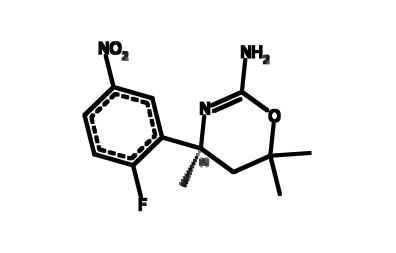 CC1(C)C[C@@](C)(c2cc([N+](=O)[O-])ccc2F)N=C(N)O1